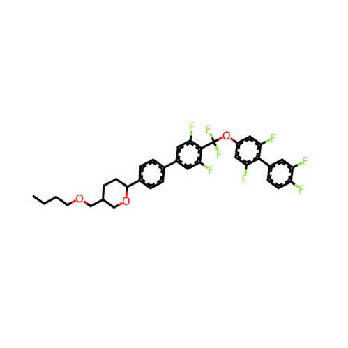 CCCCOCC1CCC(c2ccc(-c3cc(F)c(C(F)(F)Oc4cc(F)c(-c5ccc(F)c(F)c5)c(F)c4)c(F)c3)cc2)OC1